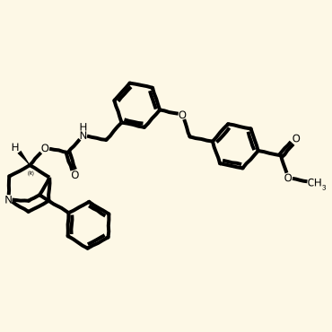 COC(=O)c1ccc(COc2cccc(CNC(=O)O[C@H]3CN4CCC3C(c3ccccc3)C4)c2)cc1